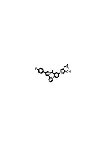 CC1c2cc(N3C[C@@H](CN(C)C)[C@H](O)C3)ccc2-n2ccnc2-c2cc(-c3ccc(F)cc3)cn21